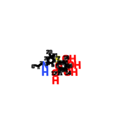 CCCNC1CC(S[C@@H]2O[C@H](CO)[C@H](O)[C@H](O)[C@H]2O)C(C)(C)C1